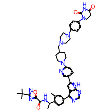 Cc1cc(-c2ncnc3[nH]c(-c4ccc(N5CCC(CN6CCN(c7ccc(N8CCC(=O)NC8=O)cc7)CC6)CC5)nc4)cc23)ccc1C(C)NC(=O)c1nc(C(C)(C)C)no1